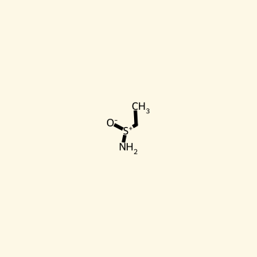 CC[S+](N)[O-]